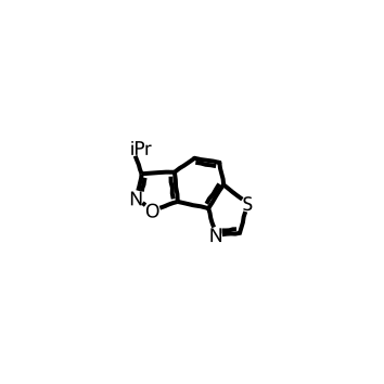 CC(C)c1noc2c1ccc1scnc12